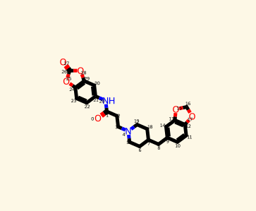 O=C(CCN1CCC(Cc2ccc3c(c2)OCO3)CC1)Nc1ccc2oc(=O)oc2c1